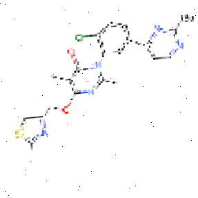 Cc1nc(COc2nc(C)n(-c3cc(-c4ccnc(C(C)(C)C)n4)ccc3Cl)c(=O)c2C)cs1